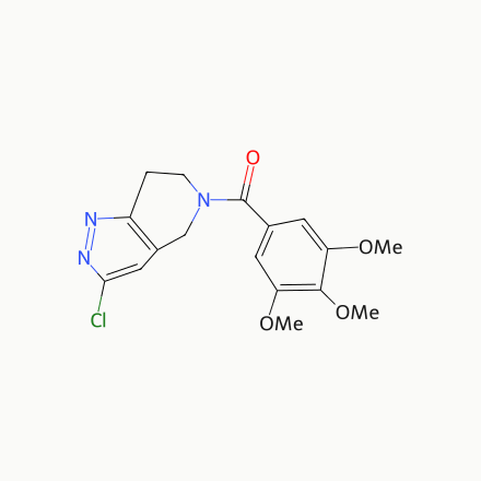 COc1cc(C(=O)N2CCc3nnc(Cl)cc3C2)cc(OC)c1OC